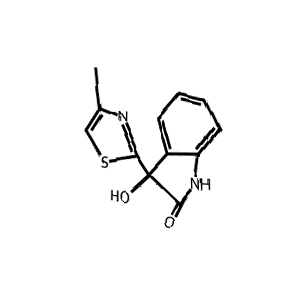 Cc1csc(C2(O)C(=O)Nc3ccccc32)n1